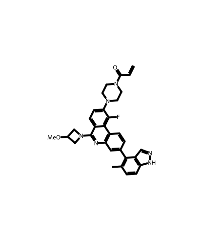 C=CC(=O)N1CCN(c2ccc3c(N4CC(OC)C4)nc4cc(-c5c(C)ccc6[nH]ncc56)ccc4c3c2F)CC1